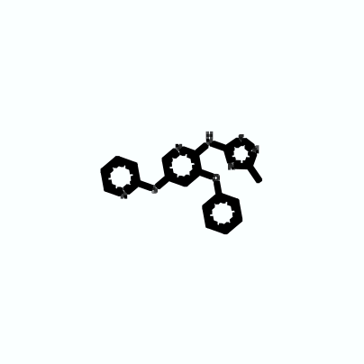 Cc1nsc(Nc2ncc(Sc3ccccn3)cc2Oc2ccccc2)n1